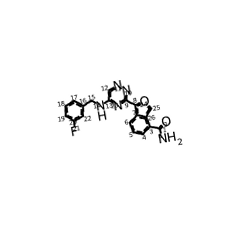 NC(=O)c1cccc2c(-c3nncc(NCc4cccc(F)c4)n3)occ12